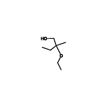 CCOC(C)(CC)CO